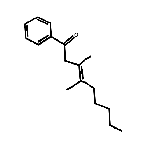 CCCCC/C(C)=C(\C)CC(=O)c1ccccc1